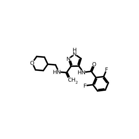 C=C(NCC1CCOCC1)c1n[nH]cc1NC(=O)c1c(F)cccc1F